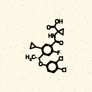 C[C@@H](Oc1ccc(Cl)c(Cl)c1)c1cc(F)c(C(=O)NC2(C(=O)O)CC2)cc1C1CC1